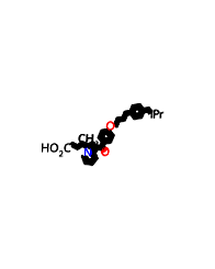 CC(C)Cc1ccc(CCCCOc2ccc(C(=O)c3cc([C@@H](C)CCC(=O)O)n4ccccc34)cc2)cc1